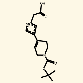 CC(C)(C)OC(=O)N1CC=C(c2cnn(CC(=O)O)c2)CC1